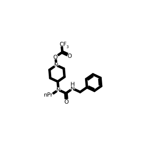 CCCN(C(=O)NCc1ccccc1)C1CCN(OC(=O)C(F)(F)F)CC1